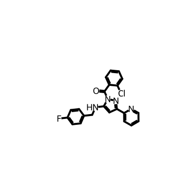 O=C(c1ccccc1Cl)n1nc(-c2ccccn2)cc1NCc1ccc(F)cc1